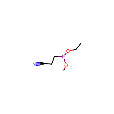 CCOP(CCC#N)OC